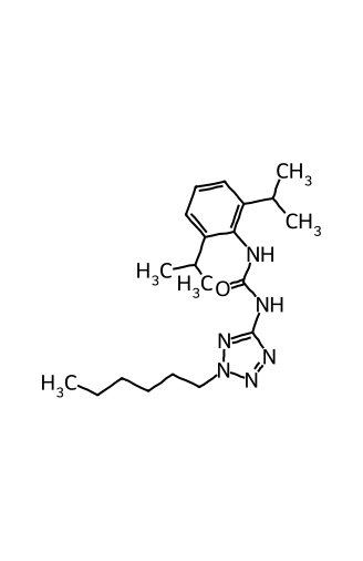 CCCCCCn1nnc(NC(=O)Nc2c(C(C)C)cccc2C(C)C)n1